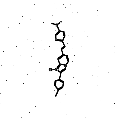 CC[n+]1c(-c2ccc(C)cc2)cn2ccc(/C=C/c3ccc(N(C)C)cc3)cc21